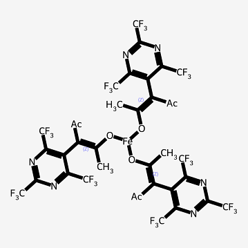 CC(=O)/C(=C(/C)[O][Fe]([O]/C(C)=C(\C(C)=O)c1c(C(F)(F)F)nc(C(F)(F)F)nc1C(F)(F)F)[O]/C(C)=C(\C(C)=O)c1c(C(F)(F)F)nc(C(F)(F)F)nc1C(F)(F)F)c1c(C(F)(F)F)nc(C(F)(F)F)nc1C(F)(F)F